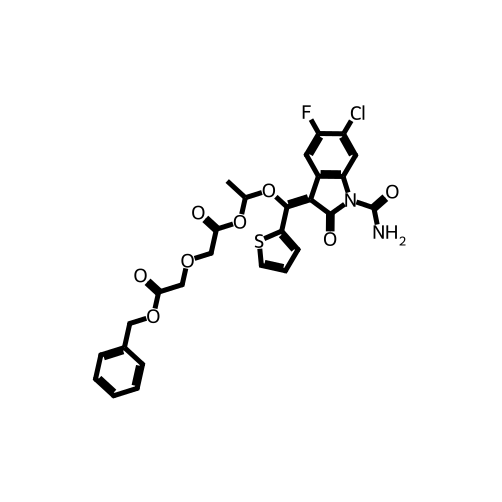 CC(OC(=O)COCC(=O)OCc1ccccc1)OC(=C1C(=O)N(C(N)=O)c2cc(Cl)c(F)cc21)c1cccs1